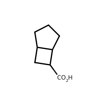 O=C(O)C1CC2CCCC21